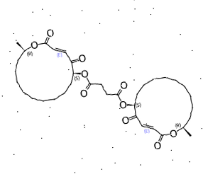 C[C@@H]1CCCCCCCCC[C@H](OC(=O)CCC(=O)O[C@H]2CCCCCCCCC[C@@H](C)OC(=O)/C=C/C2=O)C(=O)/C=C/C(=O)O1